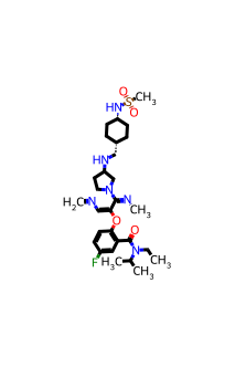 C=N/C=C(Oc1ccc(F)cc1C(=O)N(CC)C(C)C)\C(=N/C)N1CCC(NC[C@H]2CC[C@@H](NS(C)(=O)=O)CC2)C1